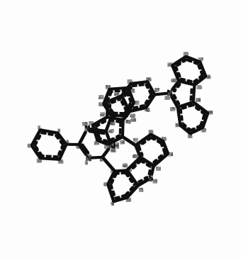 c1ccc(C2=NC(c3cccc4sc5cccc(-c6cccc7oc8ccc(-n9c%10ccccc%10c%10ccccc%109)cc8c67)c5c34)NC(c3ccccc3)=N2)cc1